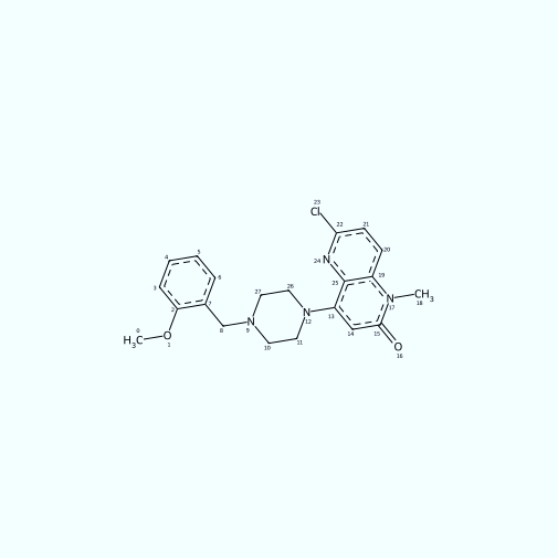 COc1ccccc1CN1CCN(c2cc(=O)n(C)c3ccc(Cl)nc23)CC1